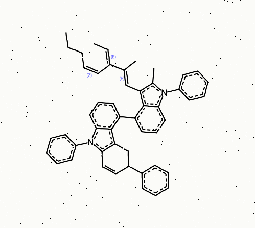 C/C=C(\C=C/CCC)C(/C)=C/c1c(C)n(-c2ccccc2)c2cccc(-c3cccc4c3c3c(n4-c4ccccc4)C=CC(c4ccccc4)C3)c12